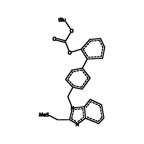 CSCc1nc2ccccc2n1Cc1ccc(-c2ccccc2OC(=O)OC(C)(C)C)cc1